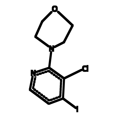 Clc1c(I)ccnc1N1CCOCC1